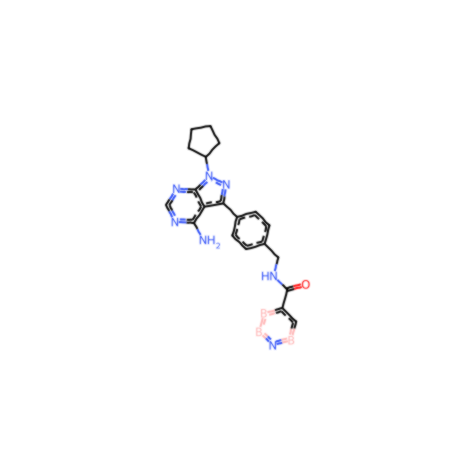 Nc1ncnc2c1c(-c1ccc(CNC(=O)c3bbnbc3)cc1)nn2C1CCCC1